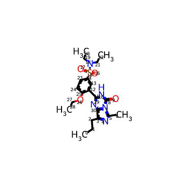 CCCc1nc(C)n2c(=O)[nH]c(-c3cc(S(=O)(=O)N(CC)CC)ccc3OCC)nc12